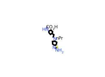 CCCN(CCC1CCC(NC(=O)O)CC1)[C@H]1CCc2nc(N)sc2C1